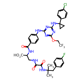 CC(C)(Cc1ccc(F)cc1)NC(=O)C(=O)NCC(NC(=O)c1ccc(Nc2nc(NC3(c4ccc(Cl)cc4)CC3)nc(OCC(F)(F)F)n2)cc1)C(=O)O